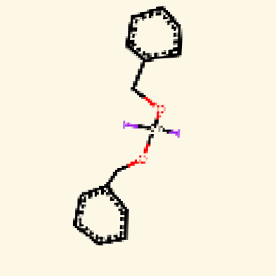 [I][Zr]([I])([O]Cc1ccccc1)[O]Cc1ccccc1